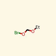 CCOCOBr